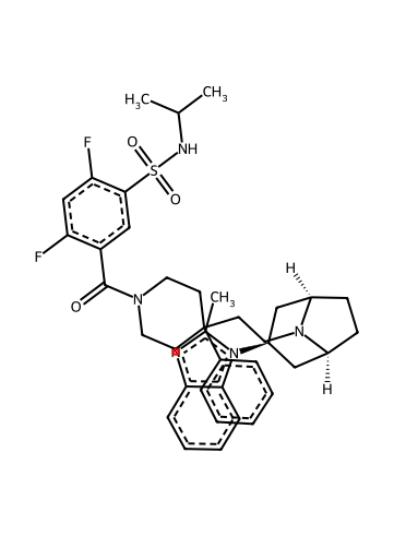 Cc1nc2ccccc2n1[C@H]1C[C@H]2CC[C@@H](C1)N2CCC1(c2ccccc2)CCN(C(=O)c2cc(S(=O)(=O)NC(C)C)c(F)cc2F)CC1